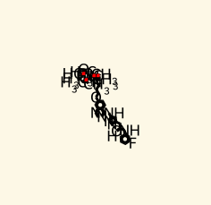 CCN(CCCOc1ccc2c(Nc3cc(CC(=O)Nc4cccc(F)c4)[nH]n3)ncnc2c1)CC(OP(=O)(O)O)(C(C)(C)C)C(C)(C)C